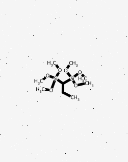 CCC([Si](OC)(OC)OC)[Si](OC)(OC)OC